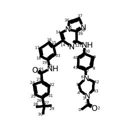 CC(=O)N1CCN(c2ccc(Nc3nc(-c4cccc(NC(=O)c5ccc(C(C)(C)C)cc5)c4)cn4ccnc34)cc2)CC1